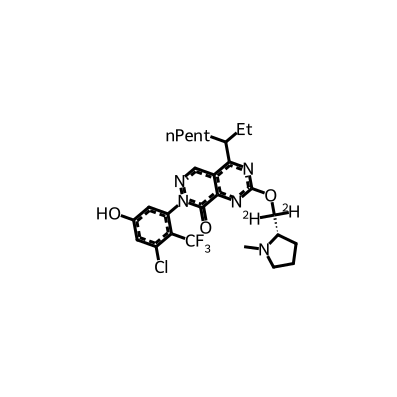 [2H]C([2H])(Oc1nc(C(CC)CCCCC)c2cnn(-c3cc(O)cc(Cl)c3C(F)(F)F)c(=O)c2n1)[C@@H]1CCCN1C